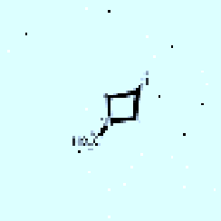 O=C(O)N1CC(Cl)C1